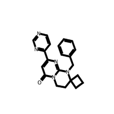 O=c1cc(-c2ccncn2)nc2n1CCC1(CCC1)N2Cc1ccccc1